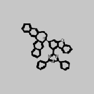 c1ccc(-c2nc(-c3ccccc3)nc(-c3cc([C@@H]4CCc5cc6ccccc6cc5-c5cc6ccccc6cc54)cc4oc5ccccc5c34)n2)cc1